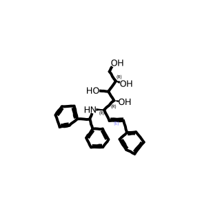 OC[C@@H](O)C(O)[C@H](O)[C@@H](/C=C/c1ccccc1)NC(c1ccccc1)c1ccccc1